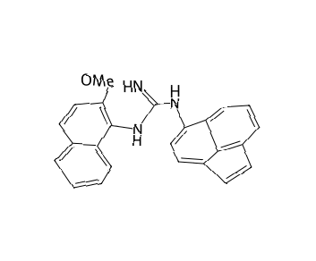 COc1ccc2ccccc2c1NC(=N)Nc1ccc2c3c(cccc13)C=C2